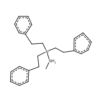 C[SiH2][Si](CCc1ccccc1)(CCc1ccccc1)CCc1ccccc1